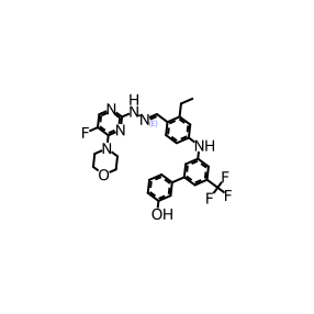 CCc1cc(Nc2cc(-c3cccc(O)c3)cc(C(F)(F)F)c2)ccc1/C=N/Nc1ncc(F)c(N2CCOCC2)n1